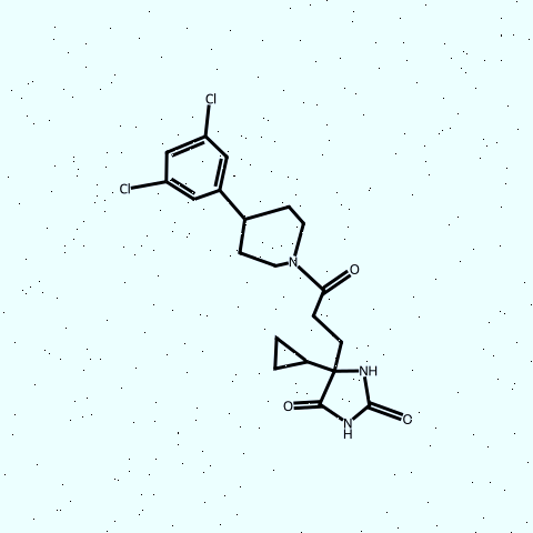 O=C1NC(=O)C(CCC(=O)N2CCC(c3cc(Cl)cc(Cl)c3)CC2)(C2CC2)N1